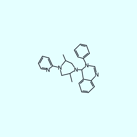 CC1CN(C2c3ccccc3N=CN2c2ccccc2)C(C)CN1c1ccccn1